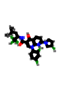 CC(C)CC(NC(=O)c1cn(-c2ccc(F)cc2F)c2nc(N3CC[C@H](F)C3)ccc2c1=O)C(F)(F)F